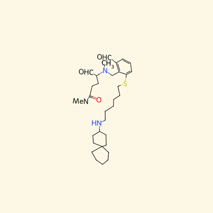 CNC(=O)CCC(C=O)N(C)Cc1c(C=O)cccc1SCCCCCCNC1CCC2(CCCCC2)CC1